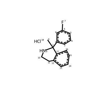 CC1(c2cccc(F)c2)NCCc2ccccc21.Cl